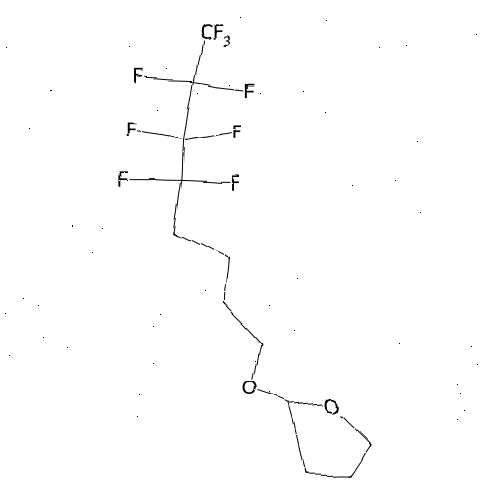 FC(F)(F)C(F)(F)C(F)(F)C(F)(F)CCCCOC1CCCO1